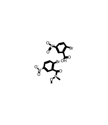 CON(C)C(=O)c1cc([N+](=O)[O-])ccc1Br.O=C(O)c1cc([N+](=O)[O-])ccc1Br